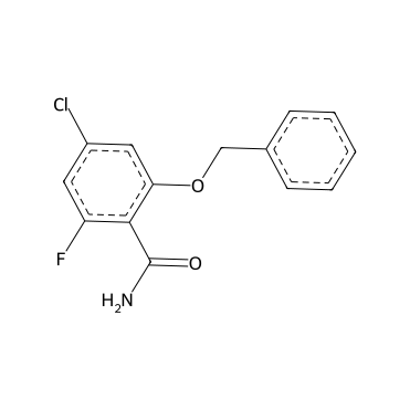 NC(=O)c1c(F)cc(Cl)cc1OCc1ccccc1